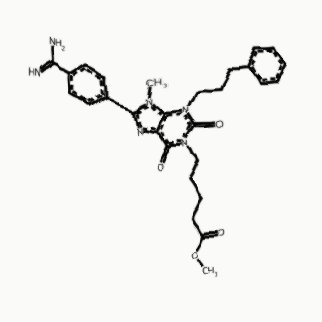 COC(=O)CCCCn1c(=O)c2nc(-c3ccc(C(=N)N)cc3)n(C)c2n(CCCc2ccccc2)c1=O